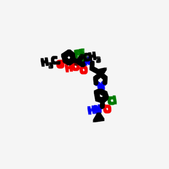 COc1cccc([C@@](O)(C(=O)N(C)CCC2CC23CCN(c2ccc(C(=O)NC4CC4)c(Cl)c2)CC3)C(F)(F)F)c1